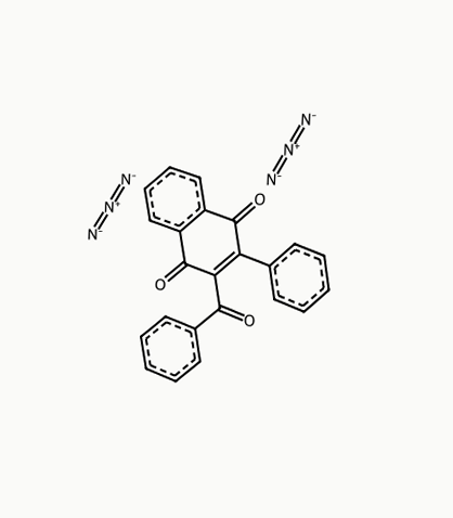 O=C(C1=C(c2ccccc2)C(=O)c2ccccc2C1=O)c1ccccc1.[N-]=[N+]=[N-].[N-]=[N+]=[N-]